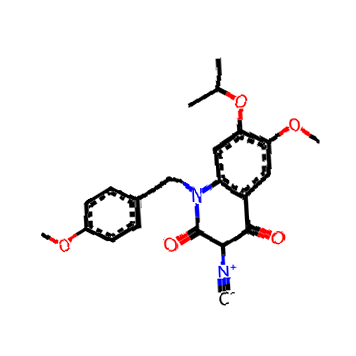 [C-]#[N+]C1C(=O)c2cc(OC)c(OC(C)C)cc2N(Cc2ccc(OC)cc2)C1=O